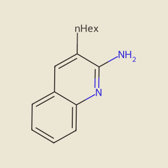 CCCCCCc1cc2ccccc2nc1N